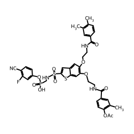 CC(=O)Oc1ccc(C(=O)NCCOc2cc3sc(S(=O)(=O)NCP(=O)(O)Oc4ccc(C#N)c(F)c4)cc3cc2OCCNC(=O)c2ccc(C)c(C)c2)cc1C